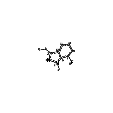 CCc1nn(C)c2c(F)cccc12